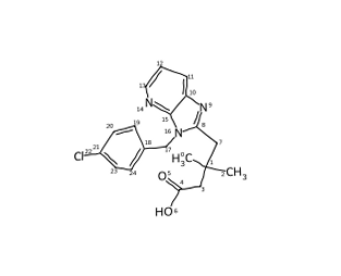 CC(C)(CC(=O)O)Cc1nc2cccnc2n1Cc1ccc(Cl)cc1